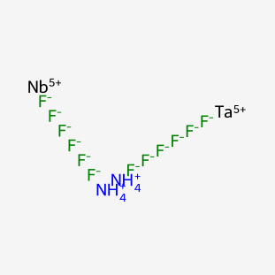 [F-].[F-].[F-].[F-].[F-].[F-].[F-].[F-].[F-].[F-].[F-].[F-].[NH4+].[NH4+].[Nb+5].[Ta+5]